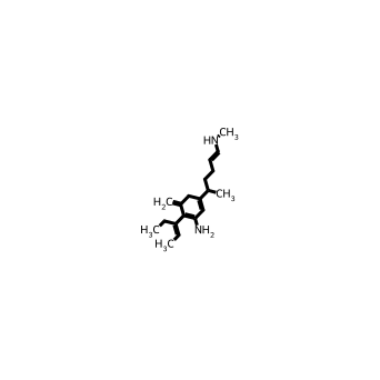 C=C1CC(C(C)CC/C=C/NC)=CC(N)=C1/C(=C/C)CC